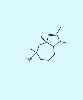 BC1(C)CCCC2[C@H](C1)N=C(C)N2C